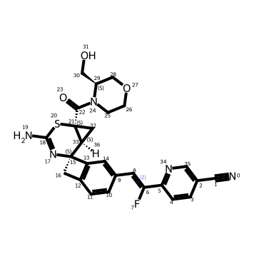 N#Cc1ccc(/C(F)=C/c2ccc3c(c2)[C@@]2(C3)N=C(N)S[C@@]3(C(=O)N4CCOC[C@@H]4CO)C[C@H]32)nc1